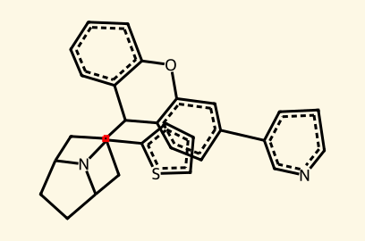 c1cncc(-c2ccc3c(c2)Oc2ccccc2C3C2CC3CCC(C2)N3Cc2cccs2)c1